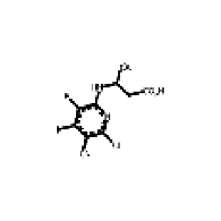 CC(C)(C)C(CC(=O)O)Nc1nc(Cl)c(C#N)c(I)c1F